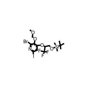 COCOc1c(OC(CO[Si](C)(C)C(C)(C)C)C(F)(F)F)cc(I)nc1Br